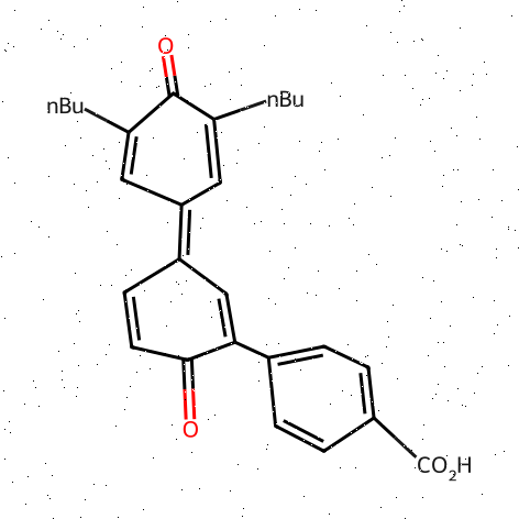 CCCCC1=CC(=C2C=CC(=O)C(c3ccc(C(=O)O)cc3)=C2)C=C(CCCC)C1=O